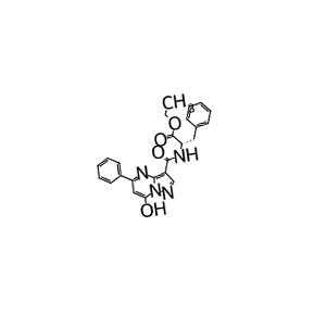 CCOC(=O)[C@H](Cc1ccccc1)NC(=O)c1cnn2c(O)cc(-c3ccccc3)nc12